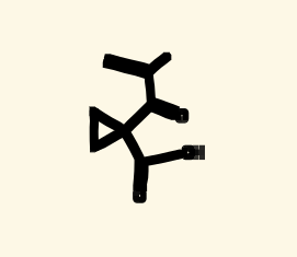 C=C(C)C(=O)C1(C(=O)O)CC1